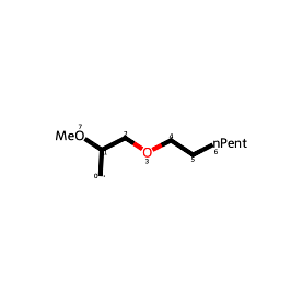 [CH2]C(COCCCCCCC)OC